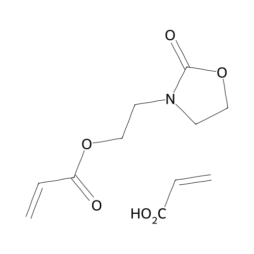 C=CC(=O)O.C=CC(=O)OCCN1CCOC1=O